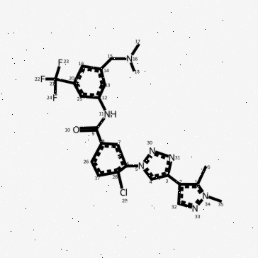 Cc1c(-c2cn(-c3cc(C(=O)Nc4cc(CN(C)C)cc(C(F)(F)F)c4)ccc3Cl)nn2)cnn1C